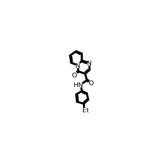 CCc1ccc(NC(=O)c2cnc3ccccn3c2=O)cc1